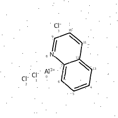 [Al+3].[Cl-].[Cl-].[Cl-].c1ccc2ncccc2c1